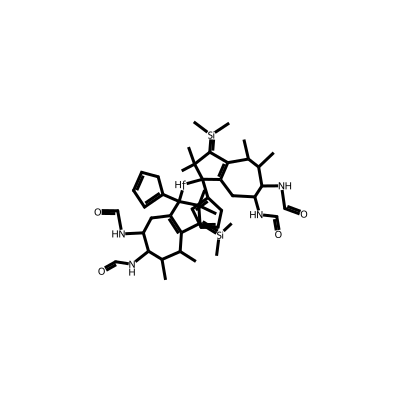 CC1C2=C(CC(NC=O)C(NC=O)C1C)[C]([Hf][C]1(C3=CC=CC3)C3=C(C(=[Si](C)C)C1(C)C)C(C)C(C)C(NC=O)C(NC=O)C3)(C1=CC=CC1)C(C)(C)C2=[Si](C)C